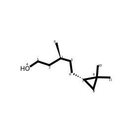 C[C@H](CCO)CC[C@H]1CC1(C)C